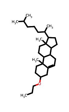 CCCOC1CCC2(C)C(=CCC3C2CCC2(C)C(C(C)CCCC(C)C)CCC32)C1